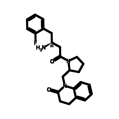 N[C@@H](CC(=O)N1CCCC1CN1C(=O)CCc2ccccc21)Cc1ccccc1F